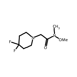 CON(C)C(=O)CN1CCC(F)(F)CC1